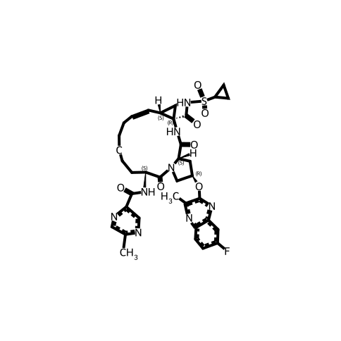 Cc1cnc(C(=O)N[C@H]2CCCCCC=C[C@@H]3C[C@@]3(C(=O)NS(=O)(=O)C3CC3)NC(=O)[C@@H]3C[C@@H](Oc4nc5cc(F)ccc5nc4C)CN3C2=O)cn1